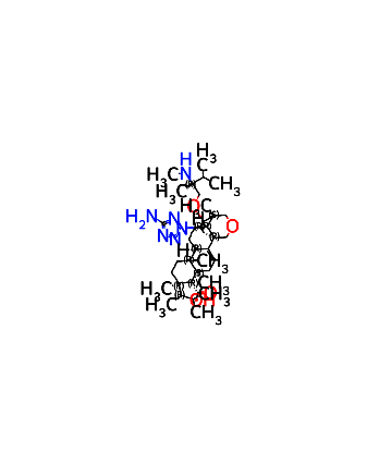 CN[C@@](C)(COC1[C@H](n2nnc(N)n2)C[C@@]23COC[C@]1(C)[C@@H]2CC[C@H]1C3=CC[C@@]2(C)[C@H](C(=O)O)[C@@](C)([C@H](C)C(C)C)CC[C@]12C)C(C)C